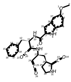 COc1ccc2[nH]c(C(=O)N[C@@H](Cc3ccccc3)C(=C=O)N[C@H](C=C=O)C[C@@H]3CCNC3=C=O)cc2c1